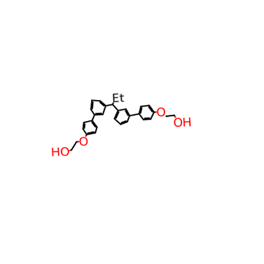 CCC(c1cccc(-c2ccc(OCCO)cc2)c1)c1cccc(-c2ccc(OCCO)cc2)c1